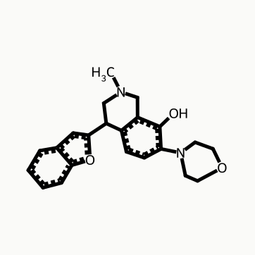 CN1Cc2c(ccc(N3CCOCC3)c2O)C(c2cc3ccccc3o2)C1